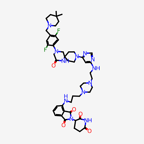 CC1(C)CCN(Cc2cc(F)c(N3CC(=O)NC4(CCN(c5cc(NCCN6CCN(CCCNc7cccc8c7C(=O)N(C7CCC(=O)NC7=O)C8=O)CC6)ncn5)CC4)C3)cc2F)CC1